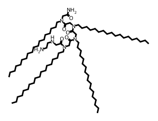 CCCCCCCCCCCCCCCCCCN(CC(N)=O)C(=O)CN(CCCCCCCCCCCCCCCCCC)C(=O)CN(CCCCCCCCCCCCCCCCCC)C(=O)CN(CCCCCCCCCCCCCCCCCC)C(=O)CNCCN